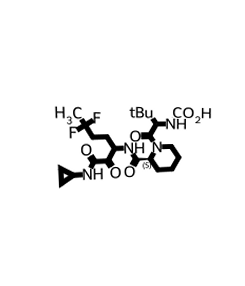 CC(F)(F)CCC(NC(=O)[C@@H]1CCCCN1C(=O)C(NC(=O)O)C(C)(C)C)C(=O)C(=O)NC1CC1